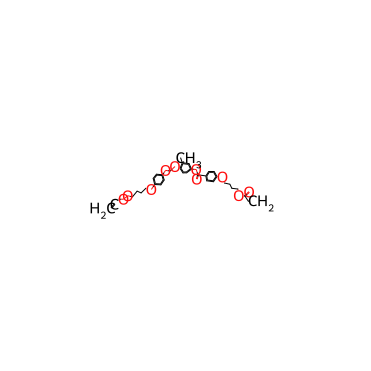 C=C=COOCCCCOc1ccc(OCOc2ccc(OC(=O)c3ccc(OCCCCOC(=O)C=C)cc3)cc2C)cc1